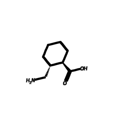 NC[C@@H]1CCCC[C@H]1C(=O)O